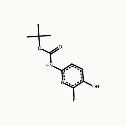 CC(C)(C)OC(=O)Nc1ccc(O)c(F)n1